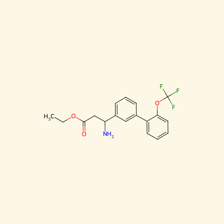 CCOC(=O)CC(N)c1cccc(-c2ccccc2OC(F)(F)F)c1